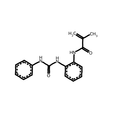 C=C(C)C(=O)Nc1ccccc1NC(=O)Nc1ccccc1